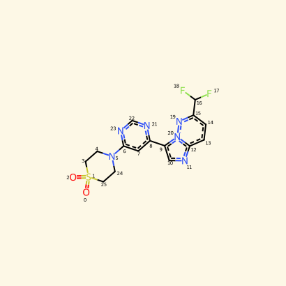 O=S1(=O)CCN(c2cc(-c3cnc4ccc(C(F)F)nn34)ncn2)CC1